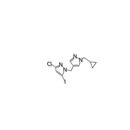 Clc1cc(I)n(Cc2cnn(CC3CC3)c2)n1